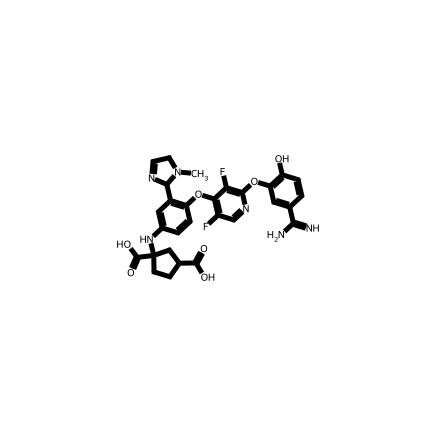 CN1CC=NC1c1cc(NC2(C(=O)O)CCC(C(=O)O)C2)ccc1Oc1c(F)cnc(Oc2cc(C(=N)N)ccc2O)c1F